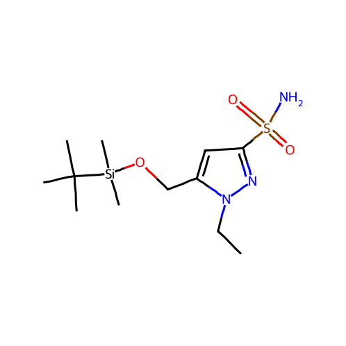 CCn1nc(S(N)(=O)=O)cc1CO[Si](C)(C)C(C)(C)C